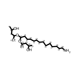 CCC(CC(C)O)OC(CCCCCCCCCCCCCN)OC(CC)CC(C)O